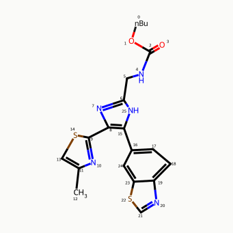 CCCCOC(=O)NCc1nc(-c2nc(C)cs2)c(-c2ccc3ncsc3c2)[nH]1